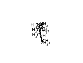 COC1=C(N)C(=O)C(C)=C(C(C)(C)C/C=C(\C)NCCC=C(C)C)C1=O